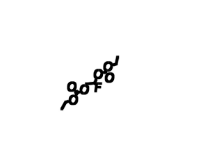 CCOC(=O)OCC(F)OC(=O)OCC